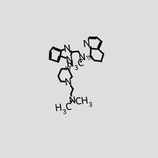 CN(C)CCN1CCC[C@H](Cn2c(CN(C)[C@H]3CCCc4cccnc43)nc3ccccc32)C1